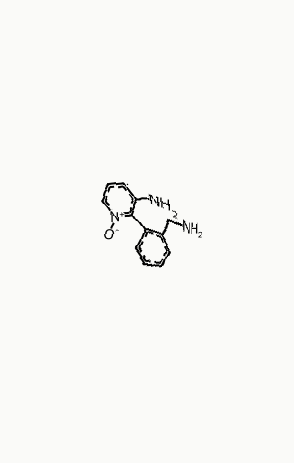 NCc1ccccc1-c1c(N)[c]cc[n+]1[O-]